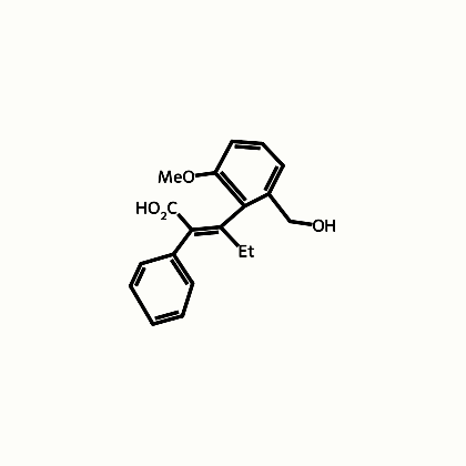 CCC(=C(C(=O)O)c1ccccc1)c1c(CO)cccc1OC